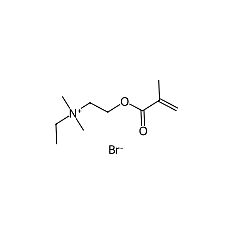 C=C(C)C(=O)OCC[N+](C)(C)CC.[Br-]